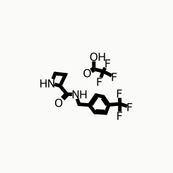 O=C(NCc1ccc(C(F)(F)F)cc1)C1CCN1.O=C(O)C(F)(F)F